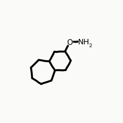 NOC1CCC2CCCCCC2C1